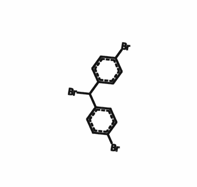 Brc1ccc(C(Br)c2ccc(Br)cc2)cc1